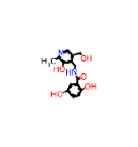 Cc1ncc(CO)c(CNC(=O)c2cc(O)ccc2O)c1O